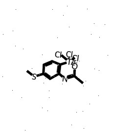 CSc1ccc2c(c1)N=C(C)O[Te]2(Cl)(Cl)Cl